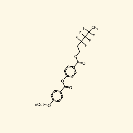 CCCCCCCCOc1ccc(C(=O)Oc2ccc(C(=O)OCCC(F)(F)C(F)(F)C(F)(F)C(F)(F)F)cc2)cc1